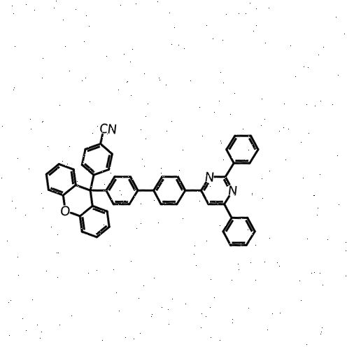 N#Cc1ccc(C2(c3ccc(-c4ccc(-c5cc(-c6ccccc6)nc(-c6ccccc6)n5)cc4)cc3)c3ccccc3Oc3ccccc32)cc1